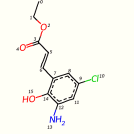 CCOC(=O)C=Cc1cc(Cl)cc(N)c1O